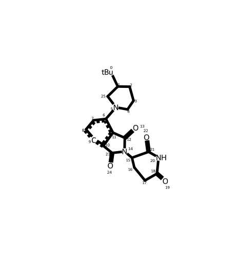 CC(C)(C)C1CCCN(c2cccc3c2C(=O)N(C2CCC(=O)NC2=O)C3=O)C1